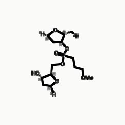 [2H]C[C@H]1O[C@@H]([3H])C[C@@H]1OP(=O)(CCCOC)OC[C@H]1O[C@@H]([3H])C[C@@H]1O